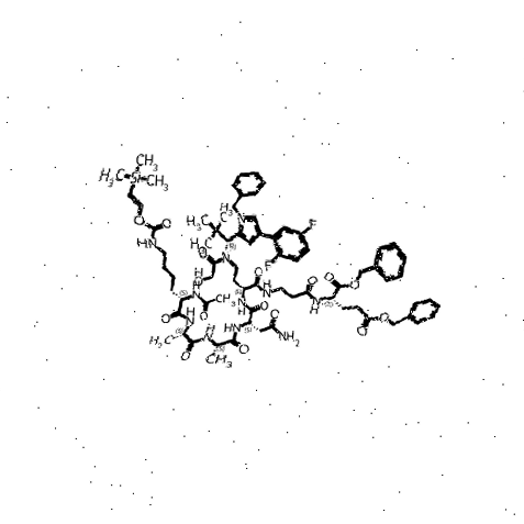 CC(=O)N[C@@H](CCCCNC(=O)OCC[Si](C)(C)C)C(=O)N[C@@H](C)C(=O)N[C@@H](C)C(=O)N[C@@H](CC(N)=O)C(=O)N[C@@H](CCN(C(=O)CO)[C@@H](c1cc(-c2cc(F)ccc2F)cn1Cc1ccccc1)C(C)(C)C)C(=O)NCCC(=O)N[C@@H](CCC(=O)OCc1ccccc1)C(=O)OCc1ccccc1